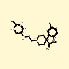 O=C1Nc2ccc(Cl)cc2C12CCN(CCOc1cnc(Cl)nc1)CC2